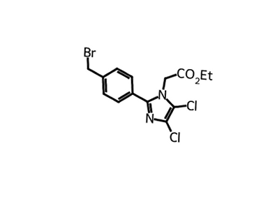 CCOC(=O)Cn1c(-c2ccc(CBr)cc2)nc(Cl)c1Cl